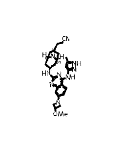 COC1CN(c2ccc3c(Nc4cc(C)[nH]n4)nc(N[C@@H]4C[C@H]5CC(CCC#N)C[C@@H](C4)N5)nc3c2)C1